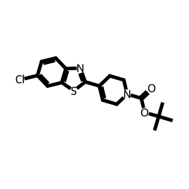 CC(C)(C)OC(=O)N1CC=C(c2nc3ccc(Cl)cc3s2)CC1